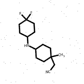 CC1(CC#N)CCC(NC2CCC(F)(F)CC2)CC1